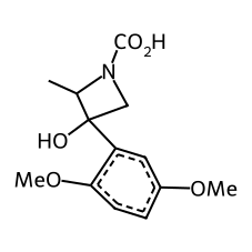 COc1ccc(OC)c(C2(O)CN(C(=O)O)C2C)c1